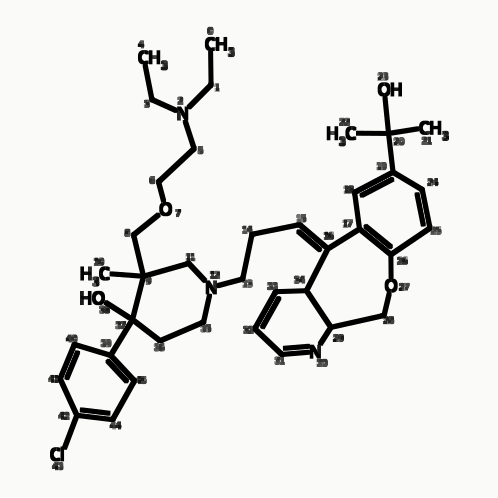 CCN(CC)CCOCC1(C)CN(CC/C=C2/c3cc(C(C)(C)O)ccc3OCC3N=CC=CC23)CCC1(O)c1ccc(Cl)cc1